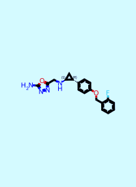 Nc1nnc(CN[C@H]2C[C@@H]2c2ccc(OCc3ccccc3F)cc2)o1